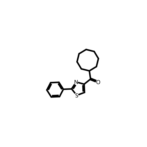 O=C(c1csc(-c2ccccc2)n1)C1CCCCCCC1